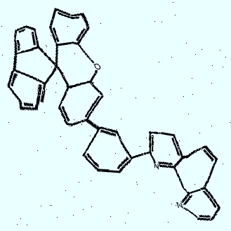 C1=CC2C(C=C1c1cccc(-c3ccc4ccc5cccnc5c4n3)c1)Oc1ccccc1C21c2ccccc2-c2ccccc21